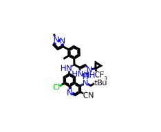 Cc1c(-c2ccn(C)n2)cccc1[C@H](Nc1cc(Cl)c2ncc(C#N)c(NCC(C)(C)C)c2c1)C1=CN(C2(C(F)(F)F)CC2)NN1